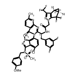 COc1ccc(CN(c2nn(C)c3c(-n4c([C@H](Cc5cc(F)cc(F)c5)NC(=O)Cn5nc(C(F)F)c6c5C(F)(F)[C@@H]5C[C@H]65)nc5nc(C)ccc5c4=O)ccc(Cl)c23)S(C)(=O)=O)cc1